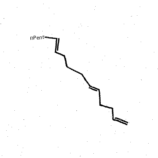 C=CCCC=CCCCC=CCCCCC